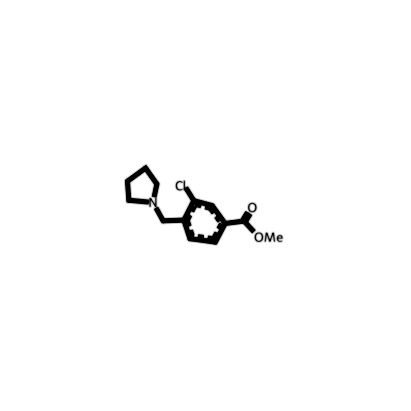 COC(=O)c1ccc(CN2CCCC2)c(Cl)c1